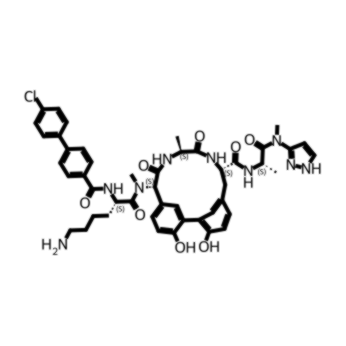 C[C@@H]1NC(=O)[C@@H](N(C)C(=O)[C@H](CCCCN)NC(=O)c2ccc(-c3ccc(Cl)cc3)cc2)c2ccc(O)c(c2)-c2cc(ccc2O)C[C@@H](C(=O)N[C@@H](C)C(=O)N(C)c2cc[nH]n2)NC1=O